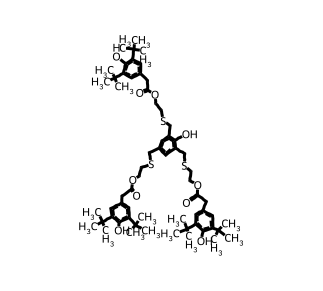 CC(C)(C)c1cc(CC(=O)OCCSCc2cc(CSCCOC(=O)Cc3cc(C(C)(C)C)c(O)c(C(C)(C)C)c3)c(O)c(CSCCOC(=O)Cc3cc(C(C)(C)C)c(O)c(C(C)(C)C)c3)c2)cc(C(C)(C)C)c1O